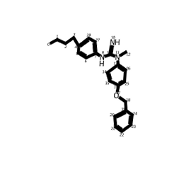 CCCCc1ccc(NC(=N)N(C)c2ccc(OCc3ccccc3)cc2)cc1